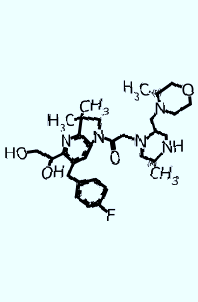 C[C@@H]1CN(CC(=O)N2CC(C)(C)c3nc(C(O)CO)c(Cc4ccc(F)cc4)cc32)C(CN2CCOC[C@H]2C)CN1